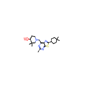 Cc1nc(CN2CCC(O)C(C)(C)C2)c2nc(C3CCC(C)(C)CC3)sc2n1